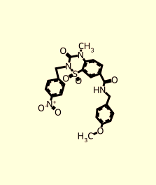 COc1ccc(CNC(=O)c2ccc3c(c2)S(=O)(=O)N(Cc2ccc([N+](=O)[O-])cc2)C(=O)N3C)cc1